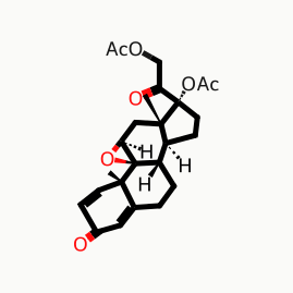 CC(=O)OCC(=O)[C@@]1(OC(C)=O)CC[C@H]2[C@@H]3CCC4=CC(=O)C=C[C@]4(C)[C@@]34O[C@H]4C[C@@]21C